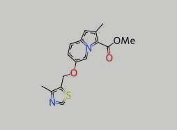 COC(=O)c1c(C)cc2ccc(OCc3scnc3C)cn12